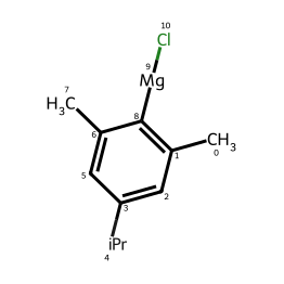 Cc1cc(C(C)C)cc(C)[c]1[Mg][Cl]